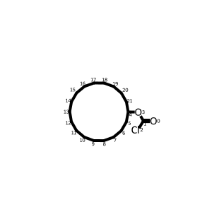 O=C(Cl)OC1CCCCCCCCCCCCCCCCC1